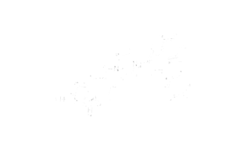 O=C(CC(c1ccccc1)c1ccccc1)N1CCN(CC23CCC[C@H]4C[C@@H](CC4C2)C3)CC1